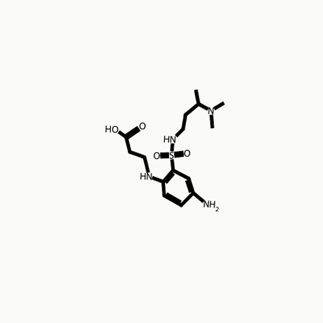 CC(CCNS(=O)(=O)c1cc(N)ccc1NCCC(=O)O)N(C)C